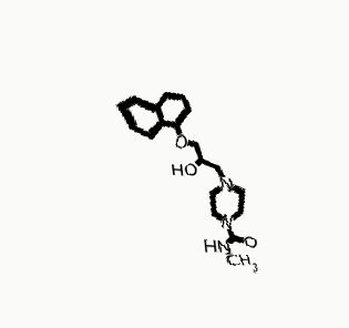 CNC(=O)N1CCN(CC(O)COc2cccc3ccccc23)CC1